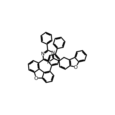 C1=CC(c2nc(-c3ccccc3)nc(-c3cccc4oc5cccc(-c6ccc(-c7ccccc7)cc6)c5c34)n2)Cc2c1oc1ccccc21